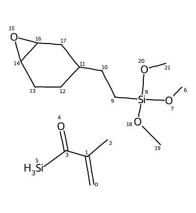 C=C(C)C(=O)[SiH3].CO[Si](CCC1CCC2OC2C1)(OC)OC